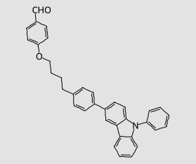 O=Cc1ccc(OCCCCc2ccc(-c3ccc4c(c3)c3ccccc3n4-c3ccccc3)cc2)cc1